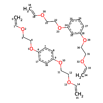 C=COCCOc1ccc(OCCOC=C)cc1.C=COCCOc1cccc(OCCOC=C)c1